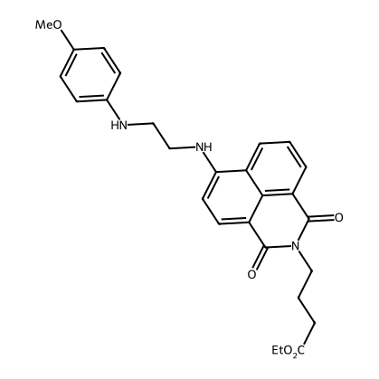 CCOC(=O)CCCN1C(=O)c2cccc3c(NCCNc4ccc(OC)cc4)ccc(c23)C1=O